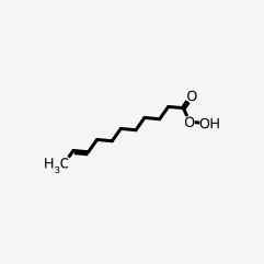 CC=CCCCCCCCC(=O)OO